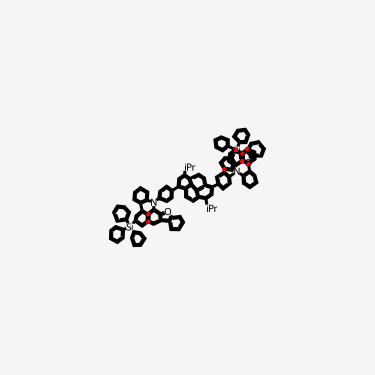 CC(C)c1cc(-c2ccc(N(c3ccccc3-c3cccc([Si](c4ccccc4)(c4ccccc4)c4ccccc4)c3)c3cccc4c3oc3ccccc34)cc2)c2ccc3c(C(C)C)cc(-c4ccc(N(c5ccccc5-c5cccc([Si](c6ccccc6)(c6ccccc6)c6ccccc6)c5)c5cccc6c5oc5ccccc56)cc4)c4ccc1c2c43